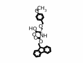 COc1ccc(COC[C@H](NC(=O)OCC2c3ccccc3-c3ccccc32)C(=O)O)cc1